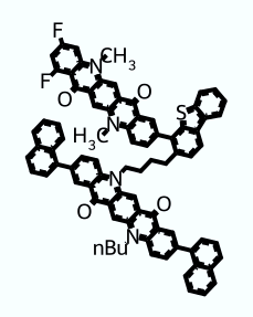 CCCCn1c2ccc(-c3cccc4ccccc34)cc2c(=O)c2cc3c(cc21)c(=O)c1cc(-c2cccc4ccccc24)ccc1n3CCCCc1ccc2c(sc3ccccc32)c1-c1ccc2c(c1)c(=O)c1cc3c(cc1n2C)c(=O)c1c(F)cc(F)cc1n3C